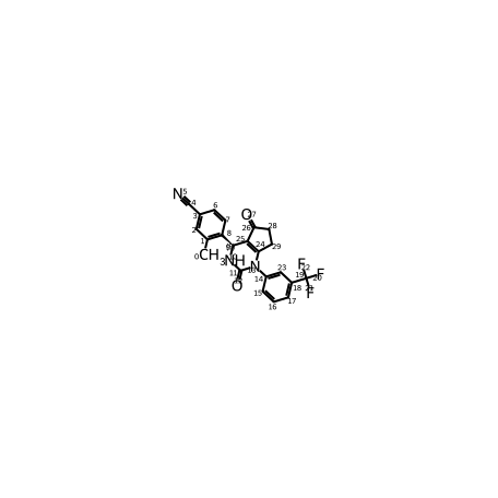 Cc1cc(C#N)ccc1[C@@H]1NC(=O)N(c2cccc(C(F)(F)F)c2)C2=C1C(=O)CC2